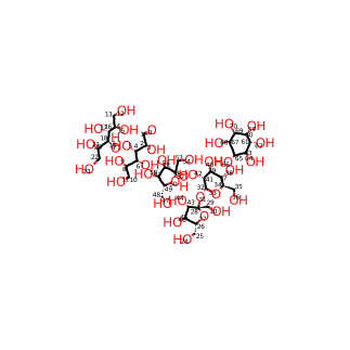 O=C[C@H](O)[C@@H](O)[C@H](O)[C@H](O)CO.OC[C@@H](O)[C@@H](O)[C@H](O)[C@@H](O)CO.OC[C@H]1O[C@@](CO)(O[C@H]2O[C@H](CO)[C@@H](O)[C@H](O)[C@H]2O)[C@@H](O)[C@@H]1O.OC[C@H]1O[C@](O)(CO)[C@@H](O)[C@@H]1O.O[C@H]1[C@H](O)[C@@H](O)[C@H](O)[C@@H](O)[C@H]1O